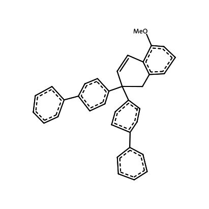 COc1cccc2c1C=CC(c1ccc(-c3ccccc3)cc1)(c1ccc(-c3ccccc3)cc1)C2